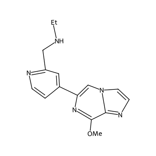 CCNCc1cc(-c2cn3ccnc3c(OC)n2)ccn1